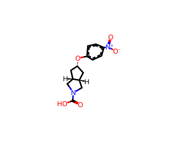 O=C(O)N1C[C@H]2C[C@@H](Oc3ccc([N+](=O)[O-])cc3)C[C@H]2C1